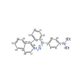 CCN(CC)c1ccc(N(N)c2ccccc2-c2cccc3ccccc23)cc1